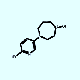 CC(C)c1ccc(N2CCC[C@@H](O)CC2)cn1